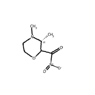 C[C@@H]1C(C(=O)[N+](=O)[O-])OCCN1C